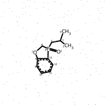 CC(C)CP1(=O)COc2ccc[c]c21